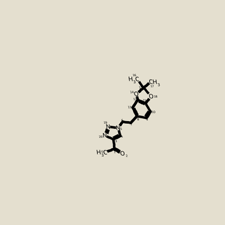 CC(=O)c1cn(CCc2ccc3c(c2)OC(C)(C)O3)nn1